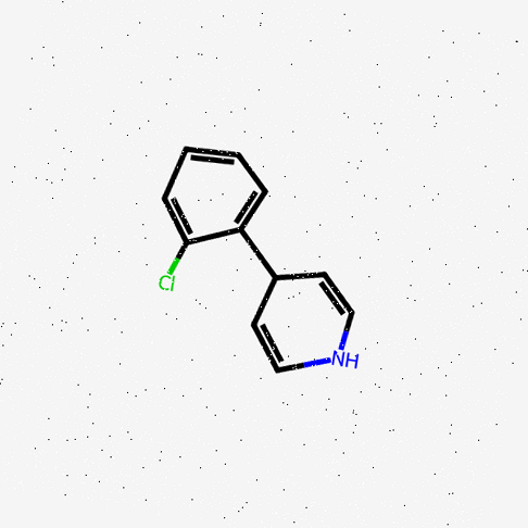 Clc1ccccc1C1C=CNC=C1